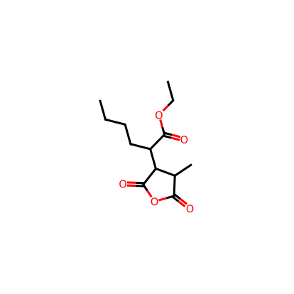 CCCCC(C(=O)OCC)C1C(=O)OC(=O)C1C